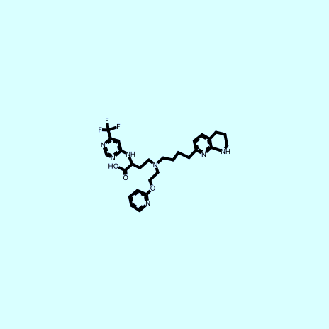 O=C(O)C(CCN(CCCCc1ccc2c(n1)NCCC2)CCOc1ccccn1)Nc1cc(C(F)(F)F)ncn1